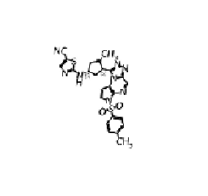 Cc1ccc(S(=O)(=O)n2ccc3c2ncc2nnc([C@H]4C[C@@H](Nc5ncc(C#N)s5)C[C@H]4C)n23)cc1